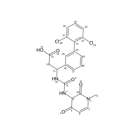 CN1C=CC(=O)C(NC(=O)NC(CC(=O)O)c2cccc(-c3c(Cl)cccc3Cl)c2)C1=O